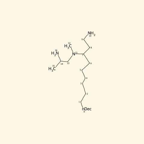 CCCCCCCCCCCCCCCCC(CCN)N(C)CC(C)N